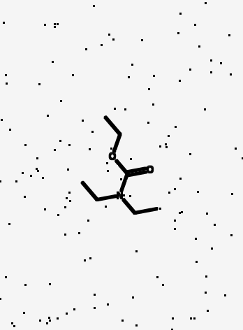 [CH2]CN(CC)C(=O)OCC